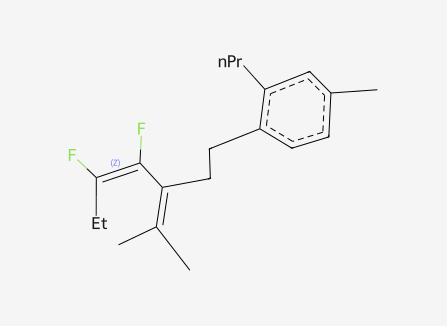 CCCc1cc(C)ccc1CCC(=C(C)C)/C(F)=C(/F)CC